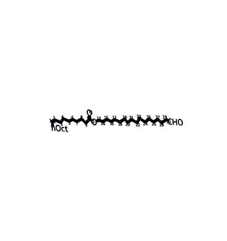 CCCCCCCC/C=C\CCCCCCCC(=O)OCCCCCCCCCCCCCCCCCC=O